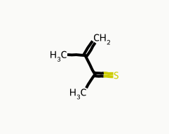 C=C(C)C(C)=S